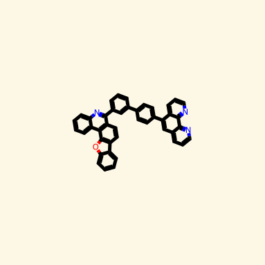 c1cc(-c2ccc(-c3cc4cccnc4c4ncccc34)cc2)cc(-c2nc3ccccc3c3c2ccc2c4ccccc4oc23)c1